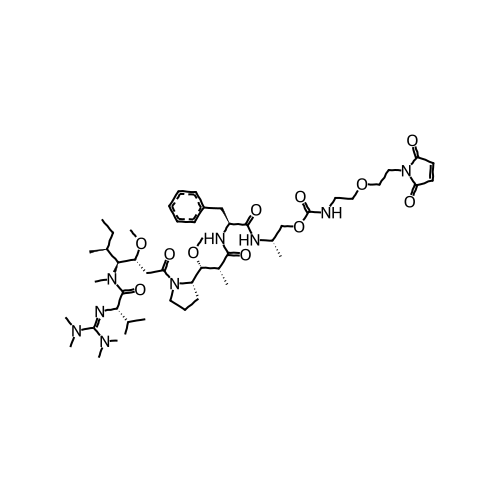 CC[C@H](C)[C@@H]([C@@H](CC(=O)N1CCC[C@H]1[C@H](OC)[C@@H](C)C(=O)N[C@@H](Cc1ccccc1)C(=O)N[C@@H](C)COC(=O)NCCOCCN1C(=O)C=CC1=O)OC)N(C)C(=O)[C@@H](N=C(N(C)C)N(C)C)C(C)C